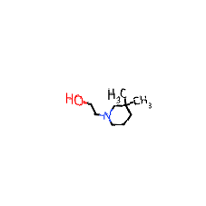 CC1(C)CCCN(CCO)C1